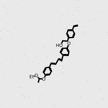 C=Cc1ccc(C(CO)Oc2ccc(C=CC=Cc3ccc(OC(C)OCC)cc3)cc2)cc1